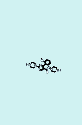 COc1ccccc1-c1nc(N2CCNCC2)ncc1C(=O)ON1CCNCC1